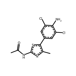 CC(=O)Nc1nc(C)c(-c2cc(Cl)c(N)c(Cl)c2)s1